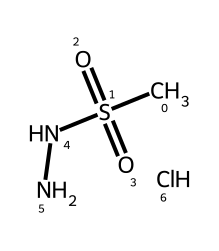 CS(=O)(=O)NN.Cl